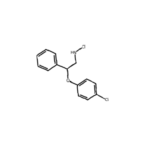 ClNCC(Oc1ccc(Cl)cc1)c1ccccc1